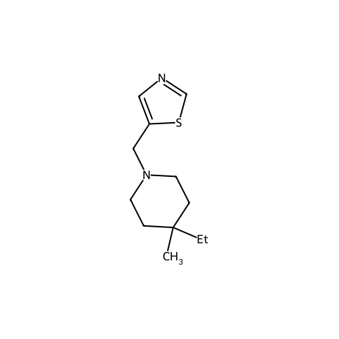 CCC1(C)CCN(Cc2cncs2)CC1